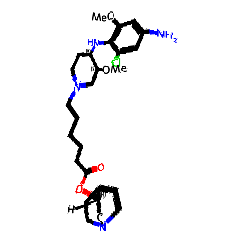 COc1cc(N)cc(Cl)c1N[C@@H]1CCN(CCCCCC(=O)O[C@H]2CN3CCC2CC3)C[C@@H]1OC